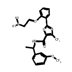 CCN(CC)CCOc1ccccc1-c1nc(C(F)(F)F)c(C(=O)NC(C)c2cccc(OC(F)(F)F)c2)s1